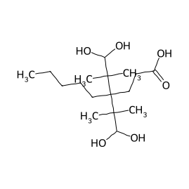 CCCCCC(CCC(=O)O)(C(C)(C)C(O)O)C(C)(C)C(O)O